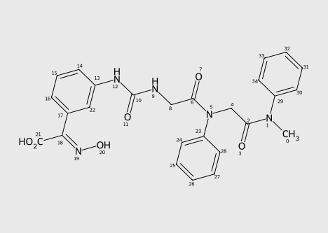 CN(C(=O)CN(C(=O)CNC(=O)Nc1cccc(/C(=N\O)C(=O)O)c1)c1ccccc1)c1ccccc1